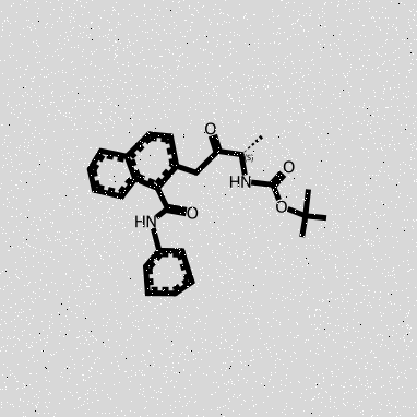 C[C@H](NC(=O)OC(C)(C)C)C(=O)Cc1ccc2ccccc2c1C(=O)Nc1ccccc1